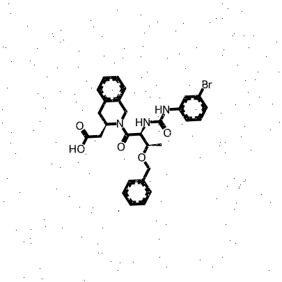 C[C@@H](OCc1ccccc1)[C@H](NC(=O)Nc1cccc(Br)c1)C(=O)N1Cc2ccccc2C[C@@H]1CC(=O)O